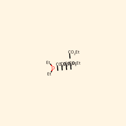 CCOC(C)=O.CCOC(C)=O.CCOC(C)=O.CCOC(C)=O.CCOC(C)=O.CCOCC